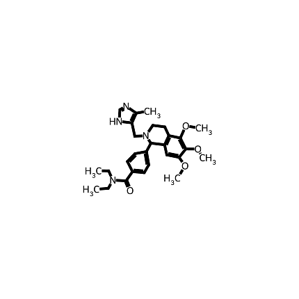 CCN(CC)C(=O)c1ccc(C2c3cc(OC)c(OC)c(OC)c3CCN2Cc2[nH]cnc2C)cc1